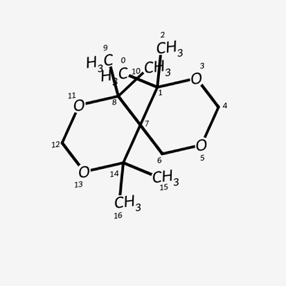 CC1(C)OCOCC12C(C)(C)OCOC2(C)C